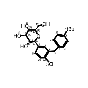 CC(C)(C)c1ccc(Cc2cc([C@@H]3O[C@H](CO)[C@@H](O)[C@H](O)[C@H]3O)ccc2Cl)cc1